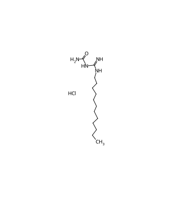 CCCCCCCCCCCCNC(=N)NC(N)=O.Cl